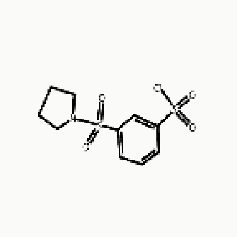 O=S(=O)(Cl)c1cccc(S(=O)(=O)N2CCCC2)c1